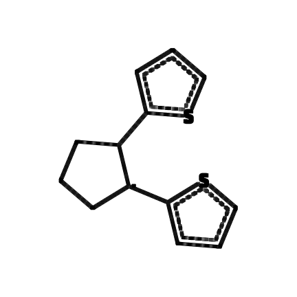 c1csc([C]2CCCC2c2cccs2)c1